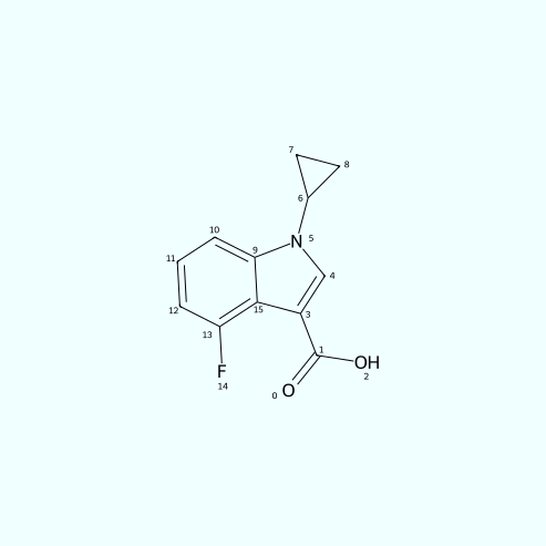 O=C(O)c1cn(C2CC2)c2cccc(F)c12